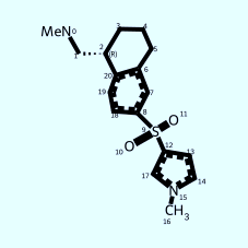 CNC[C@@H]1CCCc2cc(S(=O)(=O)c3ccn(C)c3)ccc21